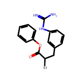 CCC(Cc1cccc(NC(=N)N)c1)C(=O)Oc1ccccc1